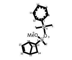 CO[Si](C)(O[Si](C)(C)c1ccccc1)C1CC2C=CC1C2